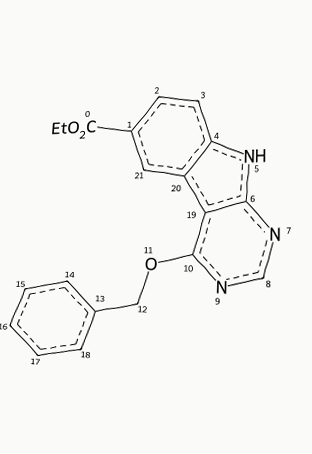 CCOC(=O)c1ccc2[nH]c3ncnc(OCc4ccccc4)c3c2c1